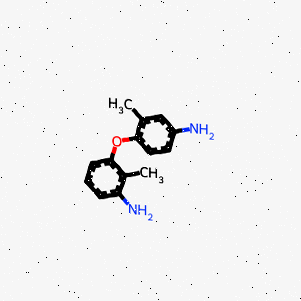 Cc1cc(N)ccc1Oc1cccc(N)c1C